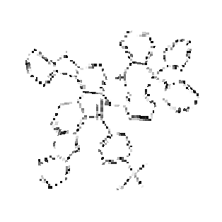 CC(C)(C)c1ccc(Nc2c(-c3c4c(cc5oc6ccccc6c35)N3c5ccccc5C(c5ccccc5)(c5ccccc5)c5cccc(c53)B4)ccc3c2sc2ccccc23)cc1